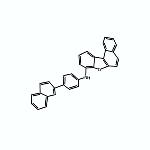 c1ccc2cc(-c3ccc(Nc4cccc5c4oc4ccc6ccccc6c45)cc3)ccc2c1